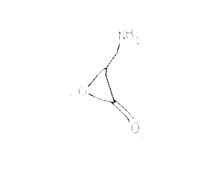 NC1OC1=O